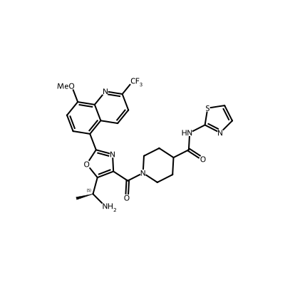 COc1ccc(-c2nc(C(=O)N3CCC(C(=O)Nc4nccs4)CC3)c([C@H](C)N)o2)c2ccc(C(F)(F)F)nc12